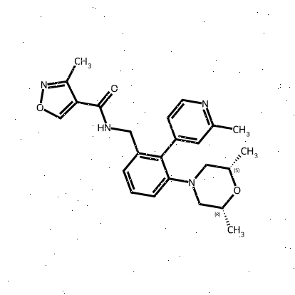 Cc1cc(-c2c(CNC(=O)c3conc3C)cccc2N2C[C@@H](C)O[C@@H](C)C2)ccn1